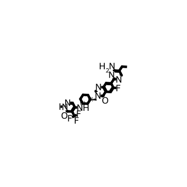 CCc1cnc(-c2cc3ncn(C[C@@H]4CCC[C@H](Nc5cnn(I)c(=O)c5C(F)(F)F)C4)c(=O)c3cc2F)nc1N